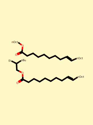 CCCCCCCCC=CCCCCCCCC(=O)OCC(CC)CCCC.CCCCCCCCC=CCCCCCCCC(=O)OCCCCCCCC